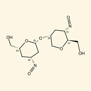 O=N[C@@H]1C[C@H](CO)O[C@H](O[C@H]2CO[C@H](CO)[C@@H](N=O)C2)C1